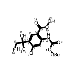 CC(C)(C)OC(=O)Nc1cc(Cl)c(C(C)(C)CF)cc1C(=O)OO